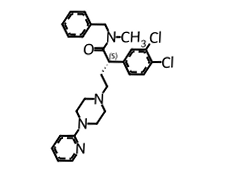 CN(Cc1ccccc1)C(=O)[C@@H](CCN1CCN(c2ccccn2)CC1)c1ccc(Cl)c(Cl)c1